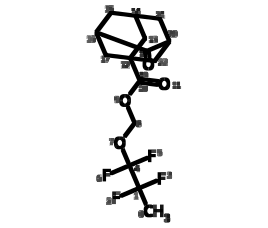 CC(F)(F)C(F)(F)OCOC(=O)C12CC3CC(C1)C(=O)C(C3)C2